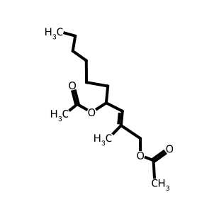 CCCCCCC(/C=C(\C)COC(C)=O)OC(C)=O